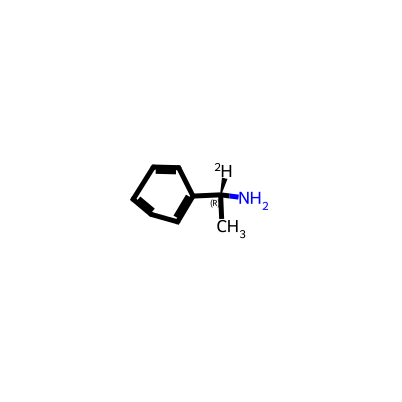 [2H][C@](C)(N)c1ccccc1